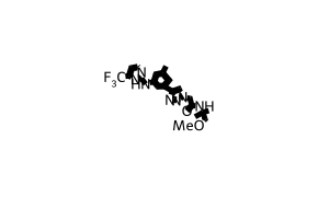 COCC(C)(C)NC(=O)Cn1cc(-c2cc(C)cc(Nc3nccc(C(F)(F)F)n3)c2)nn1